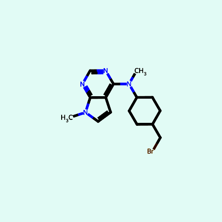 CN(c1ncnc2c1ccn2C)C1CCC(CBr)CC1